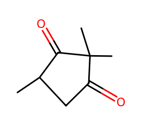 CC1CC(=O)C(C)(C)C1=O